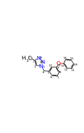 Cc1cn(Cc2cccc(Oc3ccccc3)c2)nn1